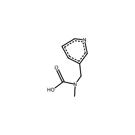 CN(Cc1cccnc1)C(=O)O